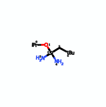 CC(C)O[Si](N)(N)CC(C)(C)C